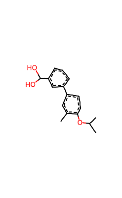 Cc1cc(-c2cccc(C(O)O)c2)ccc1OC(C)C